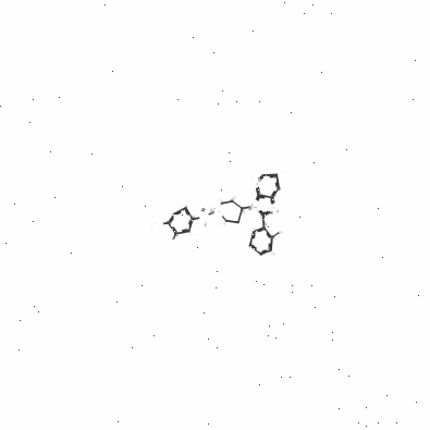 Cc1ccc(S(=O)(=O)N2CCC(n3c(-c4ccccc4Cl)nc4cccnc43)CC2)cc1Cl